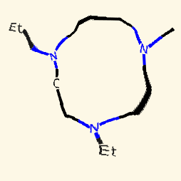 CCN1CCN(C)CCN(CC)CC1